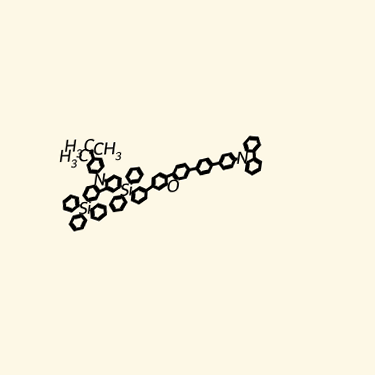 CC(C)(C)c1ccc(-n2c3ccc([Si](c4ccccc4)(c4ccccc4)c4ccccc4)cc3c3cc([Si](c4ccccc4)(c4ccccc4)c4cccc(-c5ccc6c(c5)oc5cc(-c7ccc(-c8ccc(-n9c%10ccccc%10c%10ccccc%109)cc8)cc7)ccc56)c4)ccc32)cc1